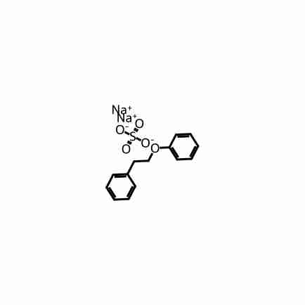 O=S(=O)([O-])[O-].[Na+].[Na+].c1ccc(CCOc2ccccc2)cc1